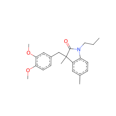 CCCN1C(=O)C(C)(Cc2ccc(OC)c(OC)c2)c2cc(C)ccc21